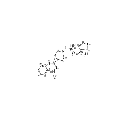 O=C(CC1CCN(c2nc3ccccc3[n+]([O-])n2)CC1)Nc1cscc1C(=O)O